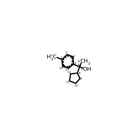 Cc1ccc(C(C)(O)C2CCCC2)cc1